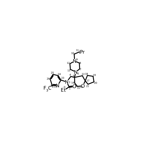 CCC(=O)N(CC1(N2CCN(CC(C)C)CC2)CCOC2(CCCC2)C1)c1cccc(C(F)(F)F)n1